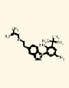 C=C(C)COCCc1ccc2c(c1)nnn2-c1cc(C)cc(C(C)(C)C)c1O